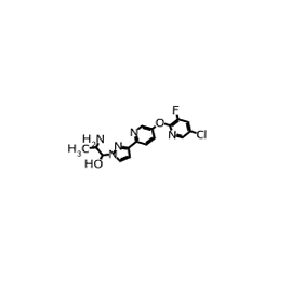 CC(N)C(O)n1ccc(-c2ccc(Oc3ncc(Cl)cc3F)cn2)n1